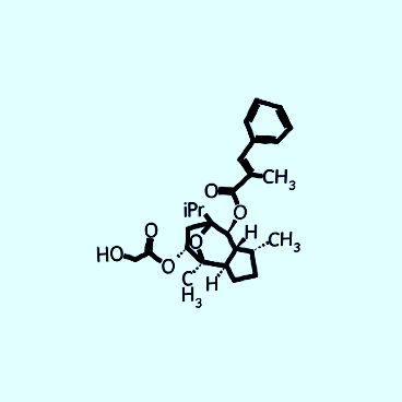 C/C(=C\c1ccccc1)C(=O)O[C@H]1[C@@H]2[C@H](C)CC[C@H]2[C@]2(C)OC1(C(C)C)C[C@H]2OC(=O)CO